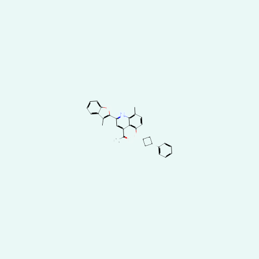 Cc1c(-c2cc(C(=O)N=O)c3c(O[C@H]4C[C@H](c5ccccc5)C4)ccc(C)c3n2)oc2ccccc12